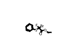 CCOC(=O)C(F)(Br)Sc1ccccc1